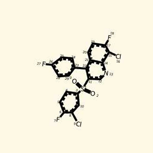 O=S(=O)(c1ccc(F)c(Cl)c1)c1cnc2c(Cl)c(F)ccc2c1-c1ccc(F)cc1